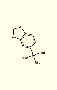 CCC[CH2][Sn]([CH2]CCC)([CH2]CCC)[c]1ccc2c(c1)OCO2